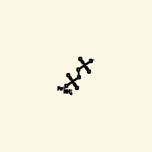 O=S(=O)([O-])OOS(=O)(=O)[O-].[Fe+].[NH4+]